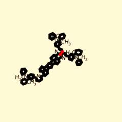 CC12CCCCC1(C)N(c1ccccc1)c1ccc(-c3cccc(-c4ccc5c6cc7c(cc6c6cccc4c65)c4ccc(-c5cccc(-c6ccc8c(c6)C6(C)CCCCC6(C)N8c6ccccc6)n5)c5c(-c6cccc(-c8ccc9c(c8)C8(C)CCCCC8(C)N9c8ccccc8)n6)ccc7c54)n3)cc12